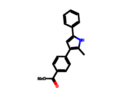 COC(=O)c1ccc(-c2cc(-c3ccccc3)[nH]c2C)cc1